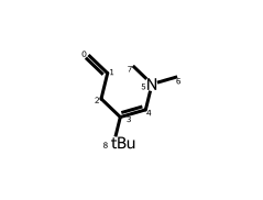 C=CC/C(=C\N(C)C)C(C)(C)C